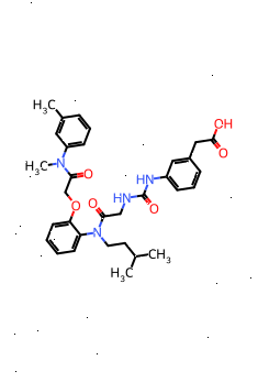 Cc1cccc(N(C)C(=O)COc2ccccc2N(CCC(C)C)C(=O)CNC(=O)Nc2cccc(CC(=O)O)c2)c1